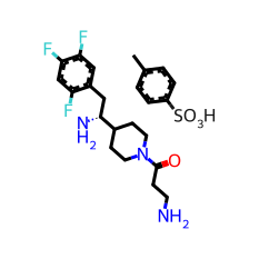 Cc1ccc(S(=O)(=O)O)cc1.NCCC(=O)N1CCC([C@H](N)Cc2cc(F)c(F)cc2F)CC1